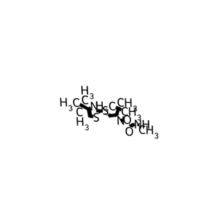 CNC(=O)O/N=C(/CSc1nc(C(C)(C)C)cs1)C(C)(C)C